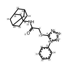 O=C(CSc1nnnn1-c1ccccc1)NC12CC3CC(CC(C3)C1)C2